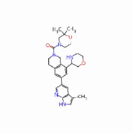 Cc1c[nH]c2ncc(-c3cc4c(c(C5COCCN5)c3)CN(C(=O)N3CCOC(C)(C)C3)CC4)cc12